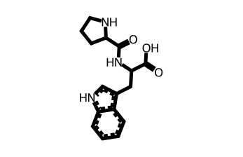 O=C(O)C(Cc1c[nH]c2ccccc12)NC(=O)C1CCCN1